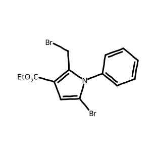 CCOC(=O)c1cc(Br)n(-c2ccccc2)c1CBr